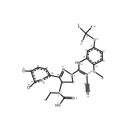 CCN(C(=O)O)C1CN(/C(=N\C#N)Nc2cc(OC(F)(F)F)ccc2OC)N=C1c1ccc(Cl)c(Cl)c1